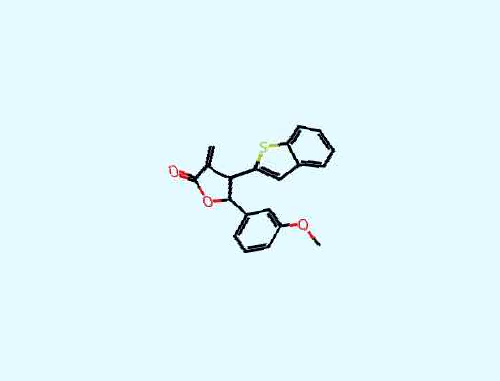 C=C1C(=O)OC(c2cccc(OC)c2)C1c1cc2ccccc2s1